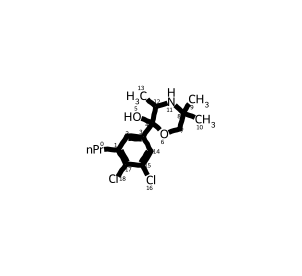 CCCc1cc(C2(O)OCC(C)(C)NC2C)cc(Cl)c1Cl